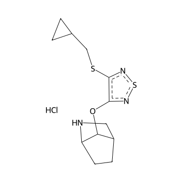 C1CC1CSc1nsnc1OC1C2CCC1NC2.Cl